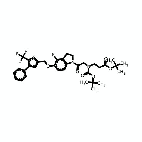 CC(C)(C)OC(=O)CCN(CC(=O)N1CCc2c1ccc(OCc1cc(-c3ccccc3)c(C(F)(F)F)s1)c2F)C(=O)OC(C)(C)C